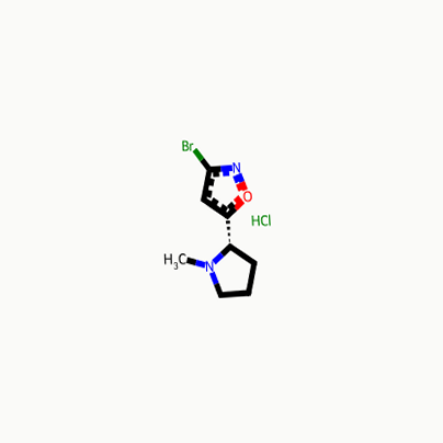 CN1CCC[C@H]1c1cc(Br)no1.Cl